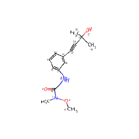 CON(C)C(=O)Nc1cccc(C#CC(C)(C)O)c1